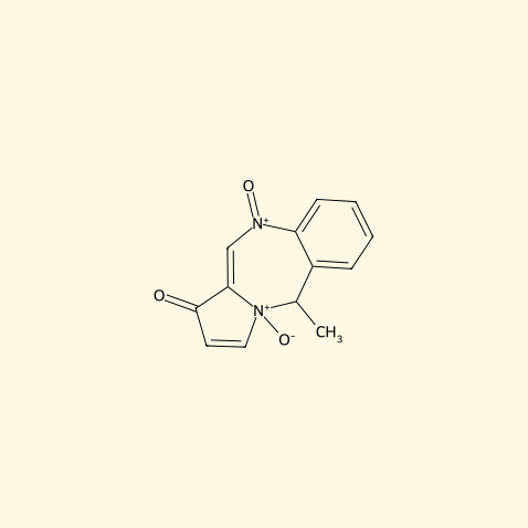 CC1c2ccccc2[N+](=O)C=C2C(=O)C=C[N+]21[O-]